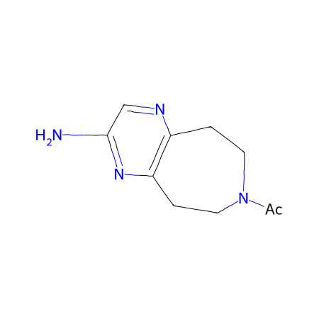 CC(=O)N1CCc2ncc(N)nc2CC1